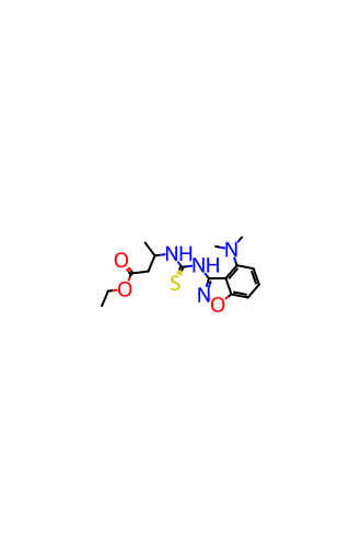 CCOC(=O)CC(C)NC(=S)Nc1noc2cccc(N(C)C)c12